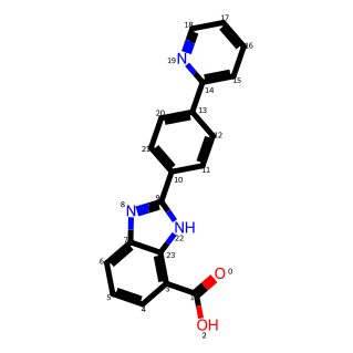 O=C(O)c1cccc2nc(-c3ccc(-c4ccccn4)cc3)[nH]c12